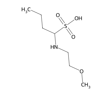 CCCC(NCCOC)S(=O)(=O)O